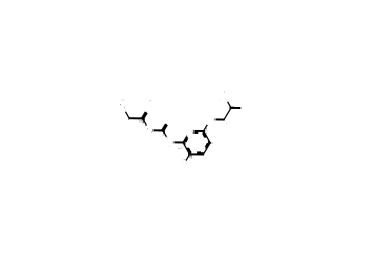 CC(C)COc1ccc(O)c(OC(=O)NC(=O)CN)n1